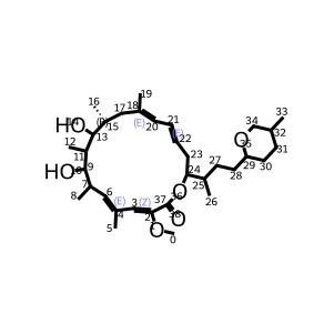 CO/C1=C\C(C)=C\C(C)C(O)C(C)C(O)[C@H](C)C/C(C)=C/C=C/CC(C(C)CCC2CCC(C)CO2)OC1=O